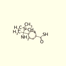 CC(N)(c1ccc(C(=O)S)cc1)[Si](C)(C)C